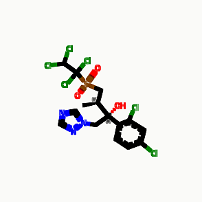 C[C@@H](CS(=O)(=O)C(Cl)(Cl)C(Cl)Cl)[C@](O)(Cn1cncn1)c1ccc(Cl)cc1Cl